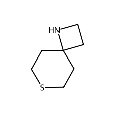 C1CC2(CCSCC2)N1